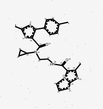 Cc1ccc(-c2sc(C)nc2C(=O)N(CCNC(=O)c2c(C)nc3sccn23)C2CC2)cc1